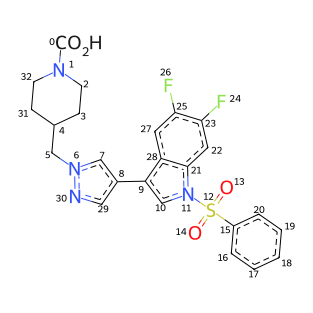 O=C(O)N1CCC(Cn2cc(-c3cn(S(=O)(=O)c4ccccc4)c4cc(F)c(F)cc34)cn2)CC1